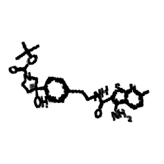 Cc1ccc2c(N)c(C(=O)NCCc3ccc([C@]4(O)CCN(C(=O)OC(C)(C)C)C4)cc3)sc2n1